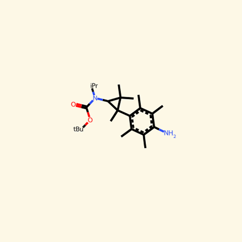 Cc1c(C)c(C2(C)C(N(C(=O)OC(C)(C)C)C(C)C)C2(C)C)c(C)c(C)c1N